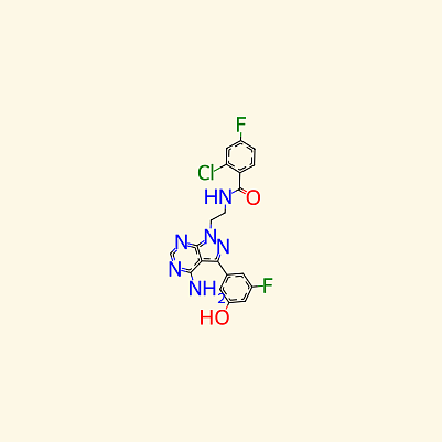 Nc1ncnc2c1c(-c1cc(O)cc(F)c1)nn2CCNC(=O)c1ccc(F)cc1Cl